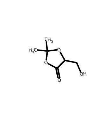 CC1(C)OC(=O)C(CO)O1